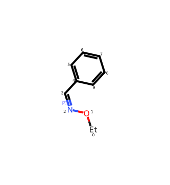 CCO/N=C\c1c[c]ccc1